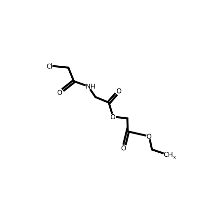 CCOC(=O)COC(=O)CNC(=O)CCl